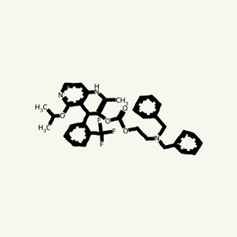 CC1=C(OC(=O)OCCN(Cc2ccccc2)Cc2ccccc2)C(c2ccccc2C(F)(F)F)c2c(ccnc2OC(C)C)N1